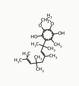 COc1c(O)c(C)c(C(C)(C)/C=C(\C)CC(C)(C)C=C(C)C)c(O)c1OC